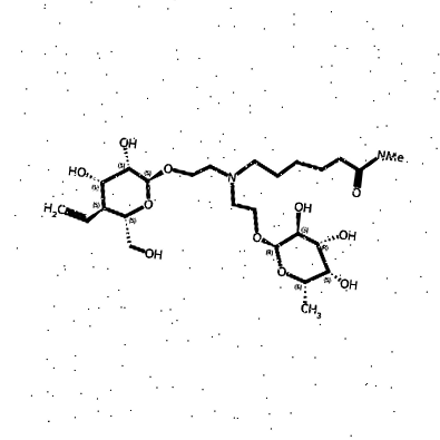 C=C[C@H]1[C@H](O)[C@H](O)[C@@H](OCCN(CCCCCC(=O)NC)CCO[C@@H]2O[C@@H](C)[C@@H](O)[C@@H](O)[C@@H]2O)O[C@@H]1CO